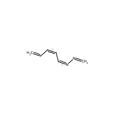 C=C/C=C\C=N/N=C